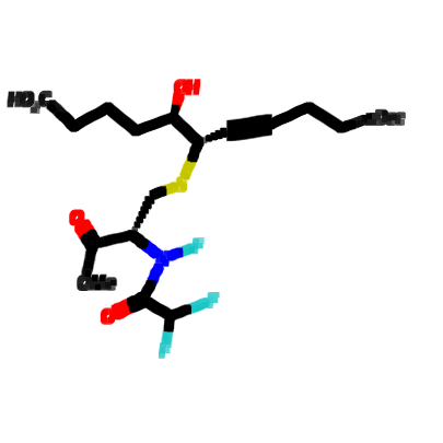 CCCCCCCCCCCCC#C[C@H](SC[C@@H](C(=O)OC)N(F)C(=O)C(F)F)[C@H](O)CCCC(=O)O